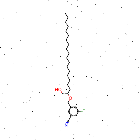 CCCCCCCCCCCCCCCCCCC(CO)OCc1cc(F)cc(C#N)c1